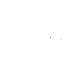 CC(C(N)=O)C(=O)C1C(O)=C2C(=O)c3c(cccc3OCc3ccccc3)C[C@H]2C[C@H]1[C@@H](COCc1ccccc1)N(C)C